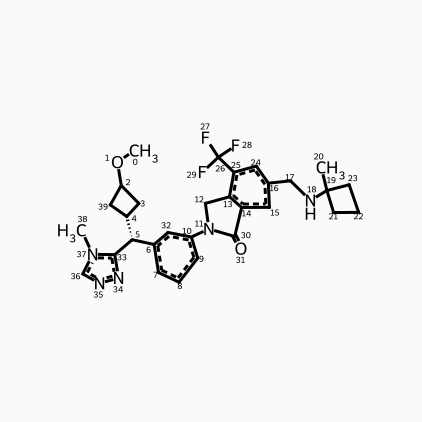 COC1CC([C@H](c2cccc(N3Cc4c(cc(CNC5(C)CCC5)cc4C(F)(F)F)C3=O)c2)c2nncn2C)C1